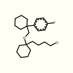 Fc1ccc(C2(COC3(CCCCCl)CCCCC3)CCCCC2)cc1